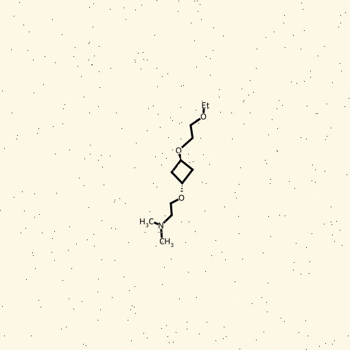 CCOCCO[C@H]1C[C@H](OCCN(C)C)C1